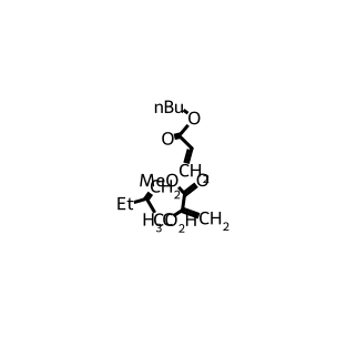 C=C(C)C(=O)OC.C=C(CC)C(=O)O.C=CC(=O)OCCCC